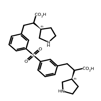 O=C(O)C(Cc1cccc(S(=O)(=O)c2cccc(CC(C(=O)O)[C@H]3CCNC3)c2)c1)[C@H]1CCNC1